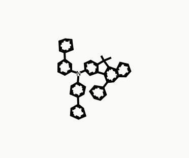 CC1(C)c2ccc(N(c3ccc(-c4ccccc4)cc3)c3cccc(-c4ccccc4)c3)cc2-c2c(-c3ccccc3)cc3ccccc3c21